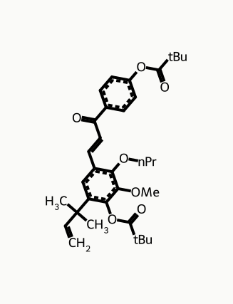 C=CC(C)(C)c1cc(C=CC(=O)c2ccc(OC(=O)C(C)(C)C)cc2)c(OCCC)c(OC)c1OC(=O)C(C)(C)C